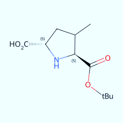 CC1C[C@@H](C(=O)O)N[C@@H]1C(=O)OC(C)(C)C